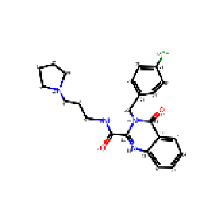 O=C(NCCCN1CCCC1)c1nc2ccccc2c(=O)n1Cc1ccc(Br)cc1